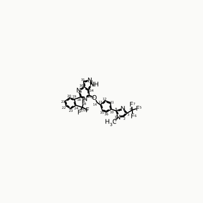 Cn1cc(C(F)(F)F)nc1-c1ccc(COc2nc(-c3ccccc3C(F)(F)F)nc3cn[nH]c23)cc1